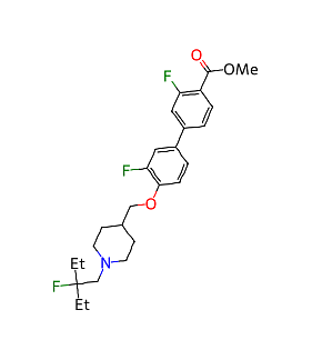 CCC(F)(CC)CN1CCC(COc2ccc(-c3ccc(C(=O)OC)c(F)c3)cc2F)CC1